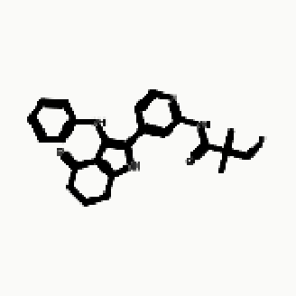 CC(C)(CF)C(=O)Nc1cc(-c2[nH]c3c(c2Nc2ccccc2)C(=O)CCC3)ccn1